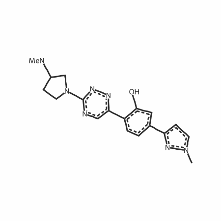 CNC1CCN(c2ncc(-c3ccc(-c4ccn(C)n4)cc3O)nn2)C1